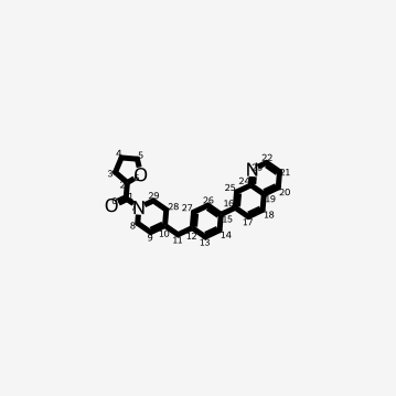 O=C(C1CCCO1)N1CC=C(Cc2ccc(-c3ccc4cccnc4c3)cc2)CC1